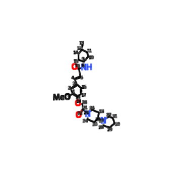 COc1cc(C=CC(=O)N[C@H]2CC[C@H](C)CC2)ccc1OCC(=O)N1CCC(N2CCCCC2)CC1